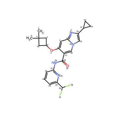 CC1(C)CC(Oc2cc3nc(C4CC4)cn3cc2C(=O)Nc2cccc(C(F)F)n2)C1